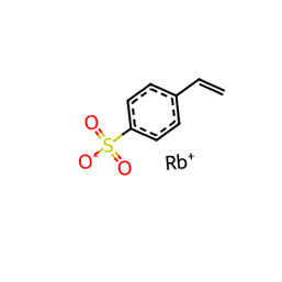 C=Cc1ccc(S(=O)(=O)[O-])cc1.[Rb+]